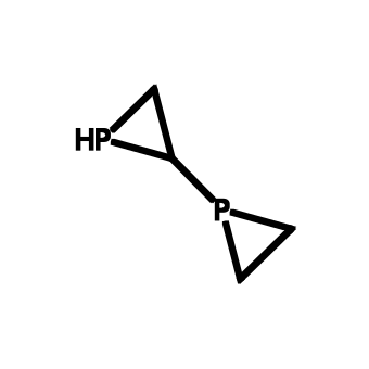 C1PC1P1CC1